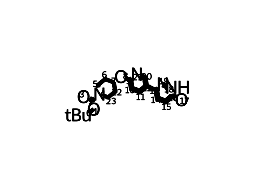 CC(C)(C)OC(=O)N1CCC(Oc2ccc(-c3ccc(=O)[nH]n3)cn2)CC1